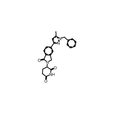 Cc1cc(-c2ccc3c(c2)CN(C2CCC(=O)NC2=O)C3=O)nn1Cc1ccccc1